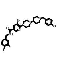 O=C(NCc1ccc(F)c(F)c1)c1cnc(N2CCN(C3CCN(Cc4ccc(Cl)cc4)CC3)CC2)c(Br)c1